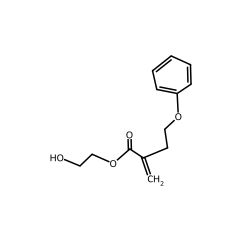 C=C(CCOc1ccccc1)C(=O)OCCO